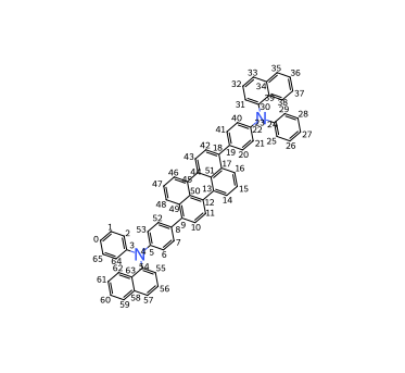 c1ccc(N(c2ccc(-c3ccc4c5cccc6c(-c7ccc(N(c8ccccc8)c8cccc9ccccc89)cc7)ccc(c7cccc3c74)c65)cc2)c2cccc3ccccc23)cc1